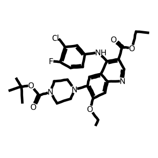 CCOC(=O)c1cnc2cc(OCC)c(N3CCN(C(=O)OC(C)(C)C)CC3)cc2c1Nc1ccc(F)c(Cl)c1